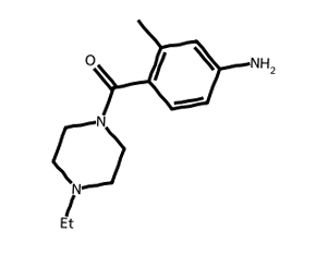 CCN1CCN(C(=O)c2ccc(N)cc2C)CC1